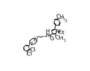 CCn1c(-c2ccc(C)cc2)cc(C(=O)NCCCCN2CCN(c3cccc(Cl)c3Cl)CC2)c1C